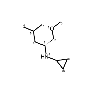 COC[C@@H](CC(C)C)NC1CC1